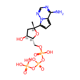 C[C@]1(c2ccc3c(N)ncnn23)C[C@H](O)[C@@H](COP(=O)(O)OP(=O)(O)OP(=O)(O)O)O1